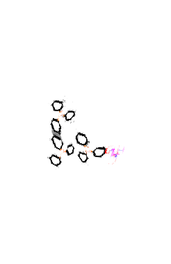 O=[N+]([O-])[O-].[Rh+].c1ccc(P(c2ccccc2)c2ccccc2)cc1.c1ccc(P(c2ccccc2)c2ccccc2)cc1.c1ccc(P(c2ccccc2)c2ccccc2)cc1